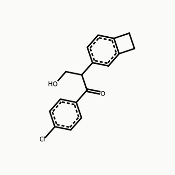 O=C(c1ccc(Cl)cc1)C(CO)c1ccc2c(c1)CC2